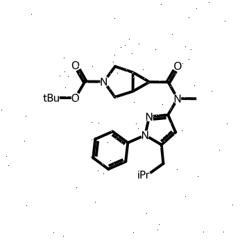 CC(C)Cc1cc(N(C)C(=O)C2C3CN(C(=O)OC(C)(C)C)CC32)nn1-c1ccccc1